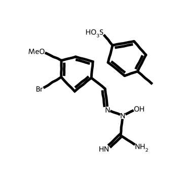 COc1ccc(/C=N/N(O)C(=N)N)cc1Br.Cc1ccc(S(=O)(=O)O)cc1